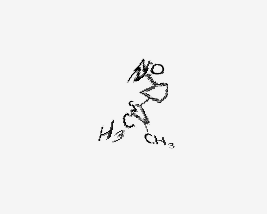 Cc1cc(-c2cccc(-c3nnco3)c2)sc1C